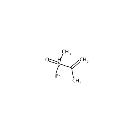 C=C(C)[SH](C)(=O)C(C)C